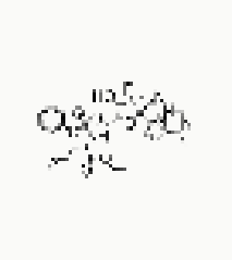 CCOC(=O)[C@H](CCSC)NP(=O)(OC[C@H]1O[C@@](C#N)(c2ccc3c(C)ncnn23)[C@](C)(F)[C@@H]1O)Oc1ccccc1